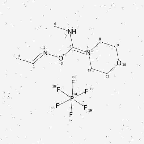 CC=NOC(NC)=[N+]1CCOCC1.F[P-](F)(F)(F)(F)F